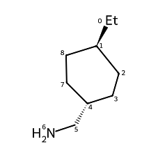 CC[C@H]1CC[C@H](CN)CC1